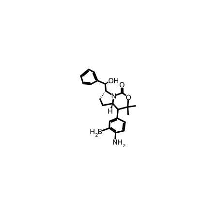 Bc1cc(C2[C@@H]3CC[C@H]([C@H](O)c4ccccc4)N3C(=O)OC2(C)C)ccc1N